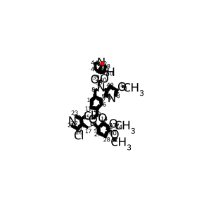 COc1cncc(N(Cc2ccc(C(=O)O[C@@H](Cc3c(Cl)cncc3Cl)c3ccc(OC)c(OC)c3)cc2)C(=O)O[C@H]2CN3CCC2CC3)c1